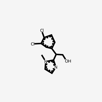 Cn1ccnc1C(CO)c1ccc(Cl)c(Cl)c1